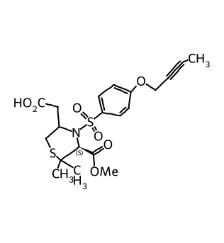 CC#CCOc1ccc(S(=O)(=O)N2C(CC(=O)O)CSC(C)(C)[C@@H]2C(=O)OC)cc1